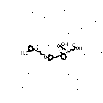 Cc1cccc(OCCCCOc2ccc(C=Cc3cccc4c3OC(C(=O)O)CN4CCCC(=O)O)cc2)c1